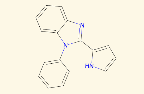 c1ccc(-n2c(-c3ccc[nH]3)nc3ccccc32)cc1